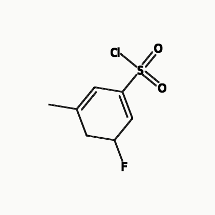 CC1=CC(S(=O)(=O)Cl)=CC(F)C1